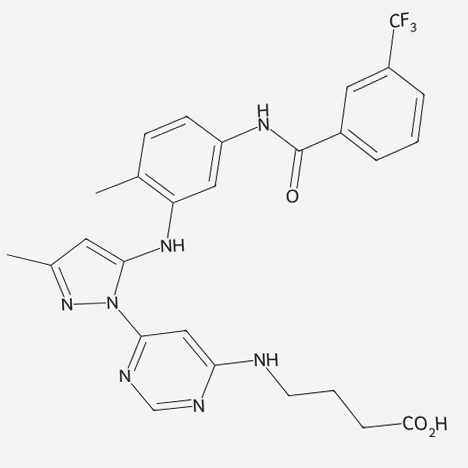 Cc1cc(Nc2cc(NC(=O)c3cccc(C(F)(F)F)c3)ccc2C)n(-c2cc(NCCCC(=O)O)ncn2)n1